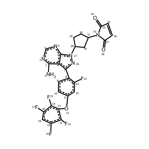 Nc1ncnc2c1c(-c1ccc(Oc3c(F)c(F)cc(F)c3F)cc1F)nn2C1CCC(N2C(=O)C=CC2=O)C1